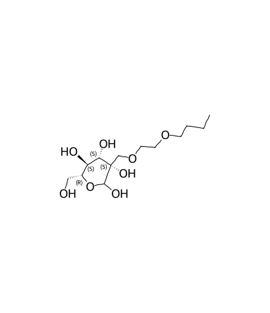 CCCCOCCOC[C@@]1(O)C(O)O[C@H](CO)[C@@H](O)[C@@H]1O